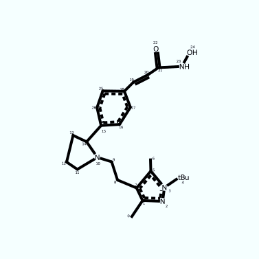 Cc1nn(C(C)(C)C)c(C)c1CCN1CCCC1c1ccc(/C=C/C(=O)NO)cc1